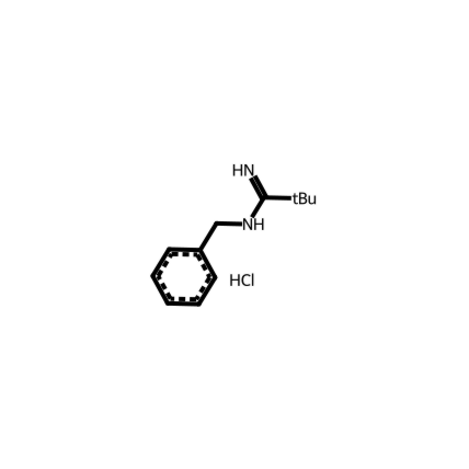 CC(C)(C)C(=N)NCc1ccccc1.Cl